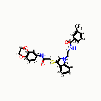 O=C(CSc1cn(CCNC(=O)c2cccc(C(F)(F)F)c2)c2ccccc12)Nc1ccc2c(c1)OCCO2